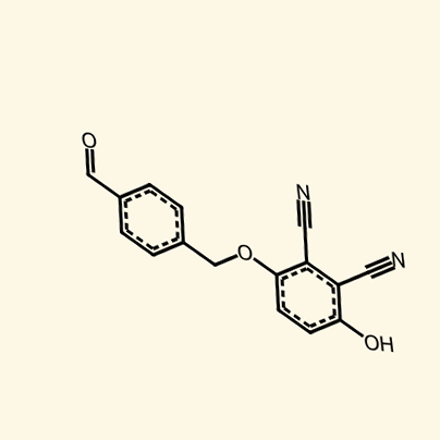 N#Cc1c(O)ccc(OCc2ccc(C=O)cc2)c1C#N